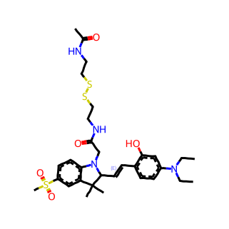 CCN(CC)c1ccc(/C=C/C2N(CC(=O)NCCSSCCNC(C)=O)c3ccc(S(C)(=O)=O)cc3C2(C)C)c(O)c1